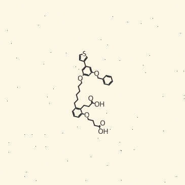 O=C(O)CCCOc1cccc(CCCCCCOc2cc(OCc3ccccc3)cc(-c3ccsc3)c2)c1CCC(=O)O